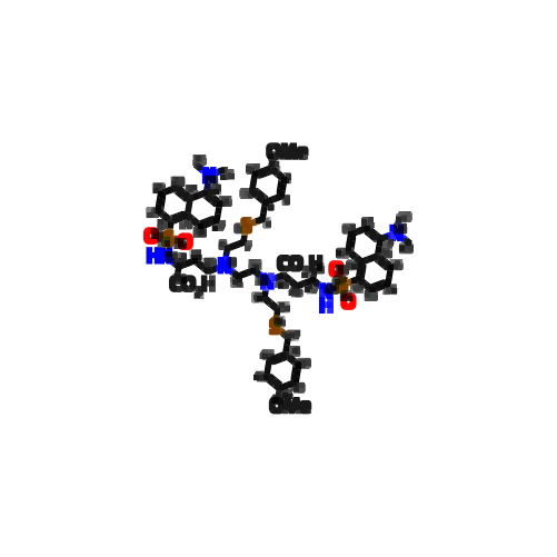 COc1ccc(CSCCN(CCC(NS(=O)(=O)c2cccc3c(N(C)C)cccc23)C(=O)O)CCN(CCSCc2ccc(OC)cc2)CCC(NS(=O)(=O)c2cccc3c(N(C)C)cccc23)C(=O)O)cc1